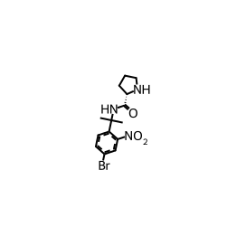 CC(C)(NC(=O)[C@@H]1CCCN1)c1ccc(Br)cc1[N+](=O)[O-]